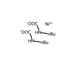 CCCCNC(=O)[O-].CCCCNC(=O)[O-].[Ni+2]